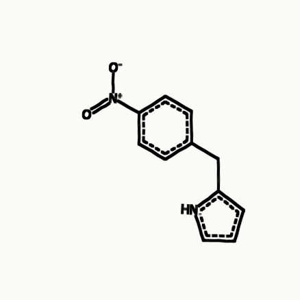 O=[N+]([O-])c1ccc(Cc2ccc[nH]2)cc1